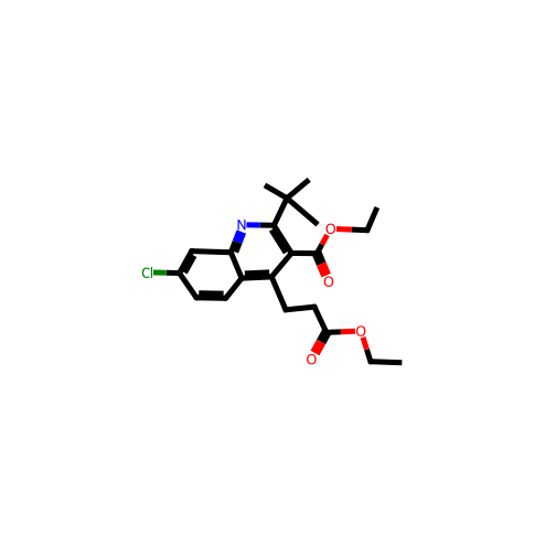 CCOC(=O)CCc1c(C(=O)OCC)c(C(C)(C)C)nc2cc(Cl)ccc12